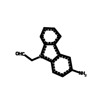 Nc1ccc2c(c1)c1ccccc1n2CC=O